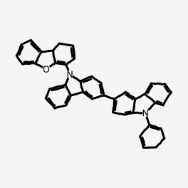 C1=CC(n2c3ccccc3c3cc(-c4ccc5c(c4)c4ccccc4n5C4=C5Oc6ccccc6C5CC=C4)ccc32)=CCC1